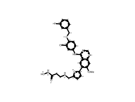 COc1cc2ncnc(Nc3ccc(OCc4cccc(F)c4)c(Cl)c3)c2cc1-c1ccc(CNCCC(=O)NO)o1